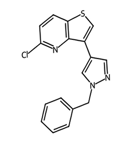 Clc1ccc2scc(-c3cnn(Cc4ccccc4)c3)c2n1